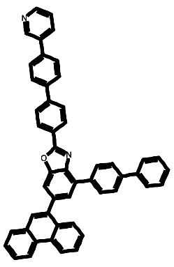 c1ccc(-c2ccc(-c3cc(-c4cc5ccccc5c5ccccc45)cc4oc(-c5ccc(-c6ccc(-c7cccnc7)cc6)cc5)nc34)cc2)cc1